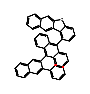 c1ccc(-c2cc3ccccc3cc2-c2c3ccccc3c(-c3cccc4oc5cc6ccccc6cc5c34)c3ccccc23)cc1